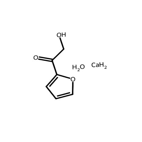 O.O=C(CO)c1ccco1.[CaH2]